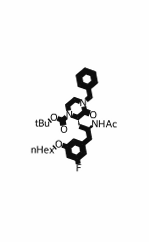 CCCCCCOc1cc(F)cc(C[C@@H](C[C@H]2C(=O)N(Cc3ccccc3)CCN2C(=O)OC(C)(C)C)NC(C)=O)c1